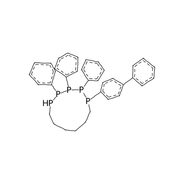 c1ccc(-c2ccc(P3CCCCCCPP(c4ccccc4)P(c4ccccc4)P3c3ccccc3)cc2)cc1